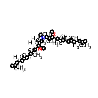 Cc1cc(-c2ccc3c(c2)C(C)(C)c2cc(-c4ccc5c(c4)C(C)(C)c4ccccc4-5)ccc2-3)cc(C)c1-c1ccc(-c2cc3c(c4c2oc2ccccc24)-c2ccc(N(c4ccc5c(c4)C(C)(C)c4cc(-c6ccc(-c7c(C)cc(-c8ccc9c(c8)C(C)(C)c8cc(-c%10ccc%11c(c%10)C(C)(C)c%10ccccc%10-%11)ccc8-9)cc7C)cc6)c6oc7ccccc7c6c4-5)c4c(C)cccc4C)cc2C3(C)C)cc1